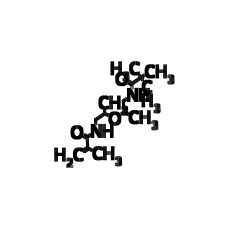 C=C(C)C(=O)NCC(C)OC(C)CNC(=O)C(C)(C)C